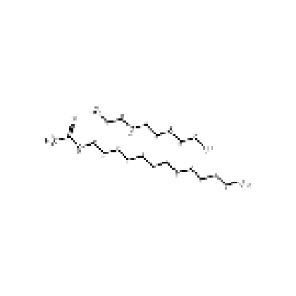 CCCCCCCCCCCCCOC(C)=O.OCCOCCOCCO